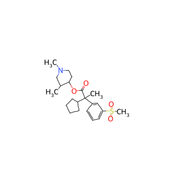 CC1CN(C)CCC1OC(=O)C(C)(c1cccc(S(C)(=O)=O)c1)C1CCCC1